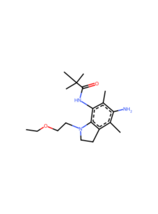 CCOCCN1CCc2c(C)c(N)c(C)c(NC(=O)C(C)(C)C)c21